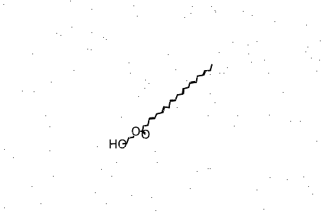 CCC=CCC=CCC=CCC=CCC=CCC=CCCC(=O)OCCCO